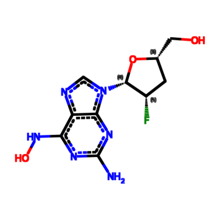 Nc1nc(NO)c2ncn([C@@H]3O[C@H](CO)C[C@@H]3F)c2n1